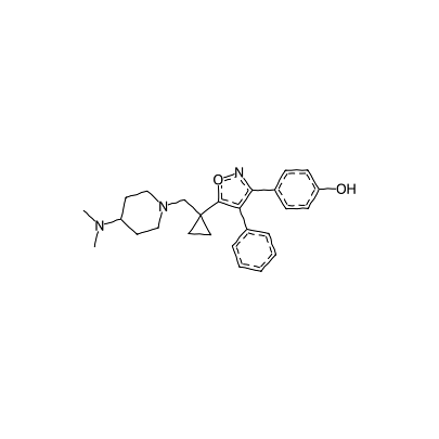 CN(C)C1CCN(CC2(c3onc(-c4ccc(O)cc4)c3-c3ccccc3)CC2)CC1